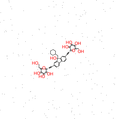 OCC[C@H]1O[C@H](C#Cc2ccc3c(c2)C(O)(CC2CCCCC2)c2cc(C#C[C@H]4O[C@H](CO)[C@@H](O)[C@H](O)[C@@H]4O)ccc2-3)[C@@H](O)[C@@H](O)[C@@H]1O